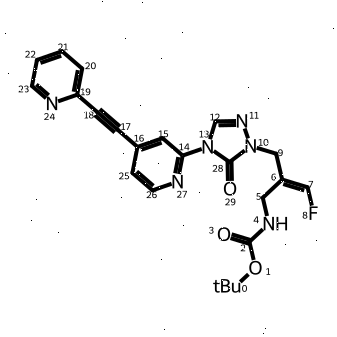 CC(C)(C)OC(=O)NC/C(=C\F)Cn1ncn(-c2cc(C#Cc3ccccn3)ccn2)c1=O